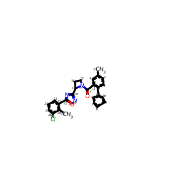 Cc1ccc(-c2ccccc2)c(C(=O)N2CCC2c2noc(-c3cccc(Cl)c3C)n2)c1